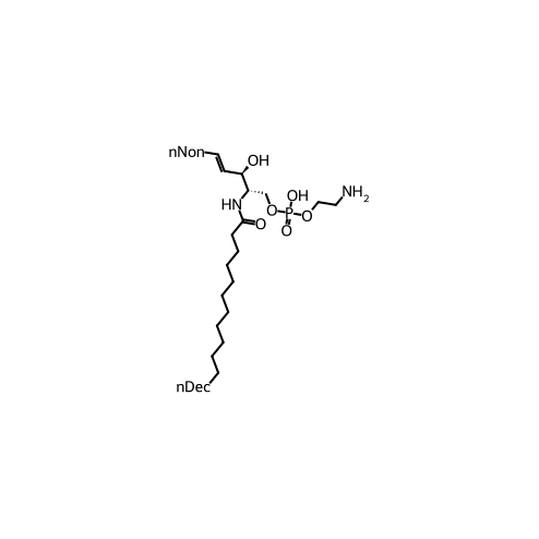 CCCCCCCCC/C=C/[C@@H](O)[C@H](COP(=O)(O)OCCN)NC(=O)CCCCCCCCCCCCCCCCCCCC